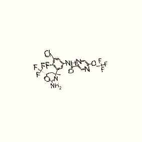 C[C@]1(c2cc(NC(=O)c3cnc(OCC(F)(F)F)cn3)cc(Cl)c2F)C[C@@H](C(F)(F)F)OC(N)=N1